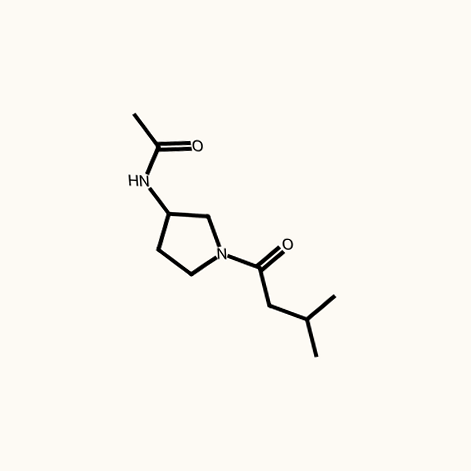 CC(=O)NC1CCN(C(=O)CC(C)C)C1